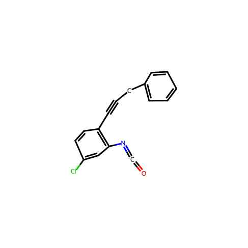 O=C=Nc1cc(Cl)ccc1C#CCc1ccccc1